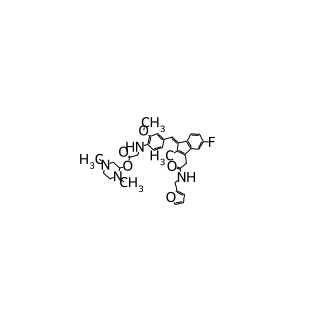 COc1cc(C=C2C(C)=C(CC(=O)NCc3ccco3)c3cc(F)ccc32)ccc1NCC(=O)OC1CN(C)CCN1C